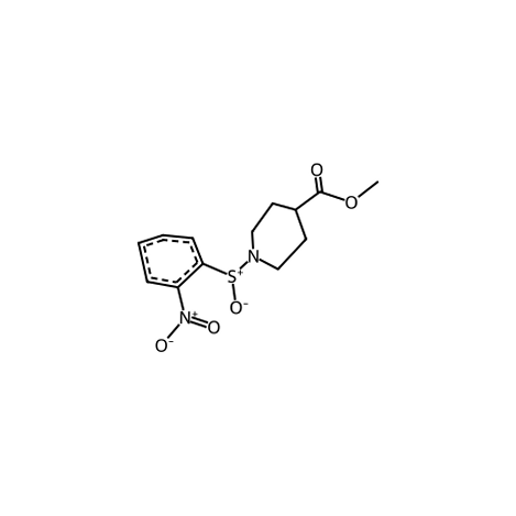 COC(=O)C1CCN([S+]([O-])c2ccccc2[N+](=O)[O-])CC1